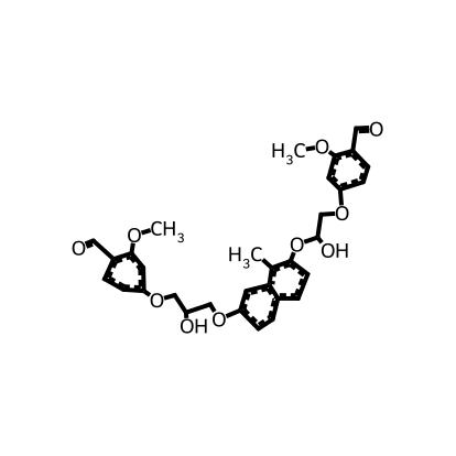 COc1cc(OCC(O)COc2ccc3ccc(OC(O)COc4ccc(C=O)c(OC)c4)c(C)c3c2)ccc1C=O